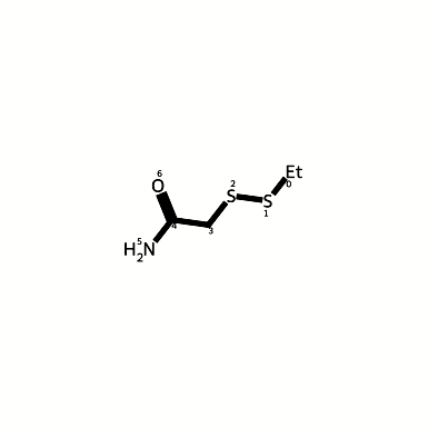 CCSSCC(N)=O